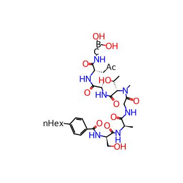 CCCCCCc1ccc(C(=O)N[C@H](CO)C(=O)N[C@H](C)C(=O)NCC(=O)N(C)[C@H](C(=O)N[C@@H](C)C(=O)N[C@@H](CC(C)=O)C(=O)NCB(O)O)C(C)O)cc1